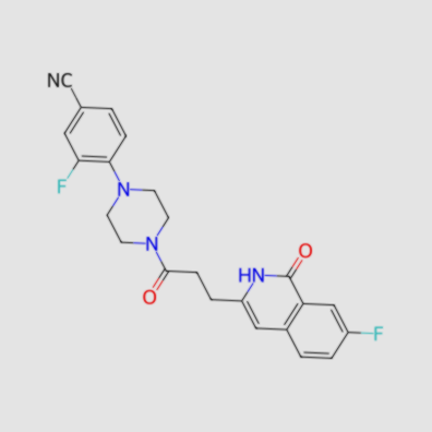 N#Cc1ccc(N2CCN(C(=O)CCc3cc4ccc(F)cc4c(=O)[nH]3)CC2)c(F)c1